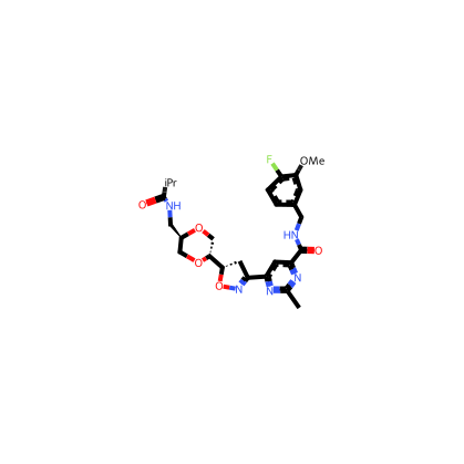 COc1cc(CNC(=O)c2cc(C3=NO[C@H]([C@H]4CO[C@H](CNC(=O)C(C)C)CO4)C3)nc(C)n2)ccc1F